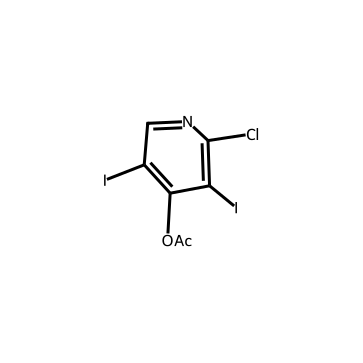 CC(=O)Oc1c(I)cnc(Cl)c1I